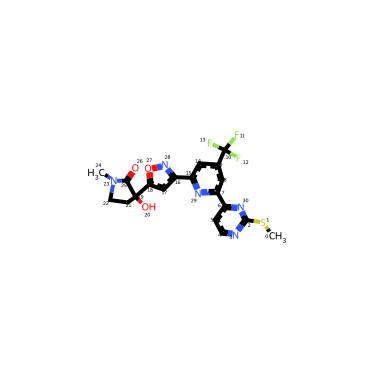 CSc1nccc(-c2cc(C(F)(F)F)cc(-c3cc(C4(O)CCN(C)C4=O)on3)n2)n1